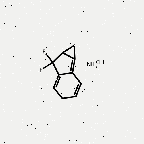 Cl.FC1(F)C2=CCC=CC2=C2CC21.N